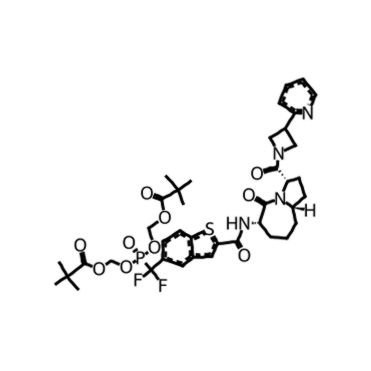 CC(C)(C)C(=O)OCOP(=O)(OCOC(=O)C(C)(C)C)C(F)(F)c1ccc2sc(C(=O)N[C@H]3CCC[C@H]4CC[C@@H](C(=O)N5CC(c6ccccn6)C5)N4C3=O)cc2c1